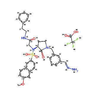 COc1ccc2cc(S(=O)(=O)N(CC(=O)NCCc3ccccc3)[C@H]3CCN(Cc4cccc(C=NN)c4)C3=O)ccc2c1.O=C(O)C(F)(F)F